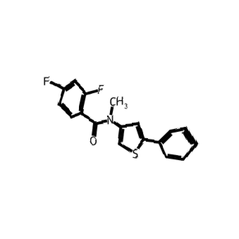 CN(C(=O)c1ccc(F)cc1F)c1csc(-c2ccccc2)c1